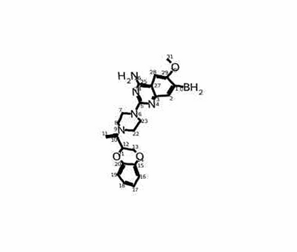 Bc1cc2nc(N3CCN(C(=C)C4COc5ccccc5O4)CC3)nc(N)c2cc1OC